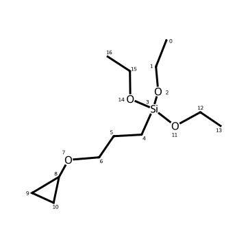 CCO[Si](CCCOC1CC1)(OCC)OCC